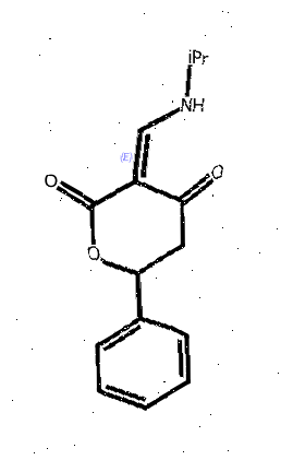 CC(C)N/C=C1\C(=O)CC(c2ccccc2)OC1=O